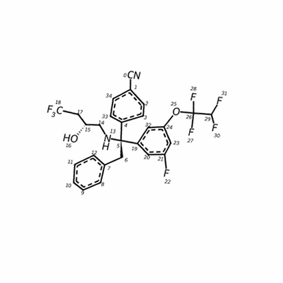 N#Cc1ccc([C@@](Cc2ccccc2)(NC[C@H](O)CC(F)(F)F)c2cc(F)cc(OC(F)(F)C(F)F)c2)cc1